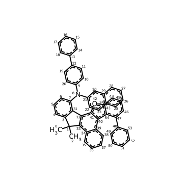 CC1(C)c2cccc(N(c3ccc(-c4ccccc4)cc3)c3ccc4ccccc4c3)c2-c2c1c1ccccc1c1c2oc2cccc(-c3ccccc3)c21